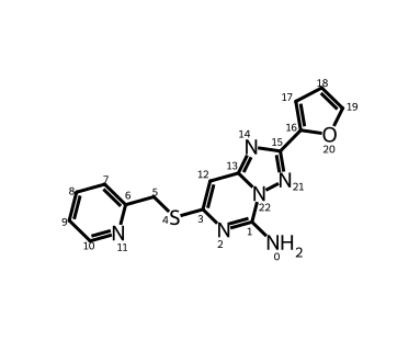 Nc1nc(SCc2ccccn2)cc2nc(-c3ccco3)nn12